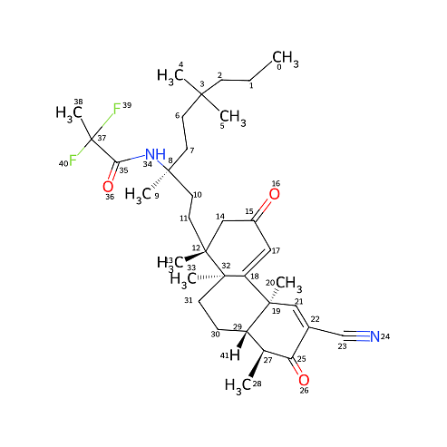 CCCC(C)(C)CC[C@@](C)(CC[C@]1(C)CC(=O)C=C2[C@@]3(C)C=C(C#N)C(=O)[C@@H](C)[C@@H]3CC[C@]21C)NC(=O)C(C)(F)F